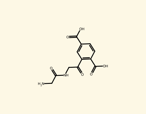 NCC(=O)NCC(=O)c1cc(C(=O)O)ccc1C(=O)O